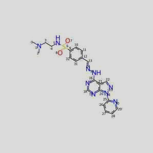 CN(C)CCNS(=O)(=O)c1ccc(C=NNc2ncnc3c2cnn3-c2ccccn2)cc1